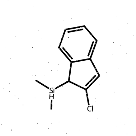 C[SiH](C)C1C(Cl)=Cc2ccccc21